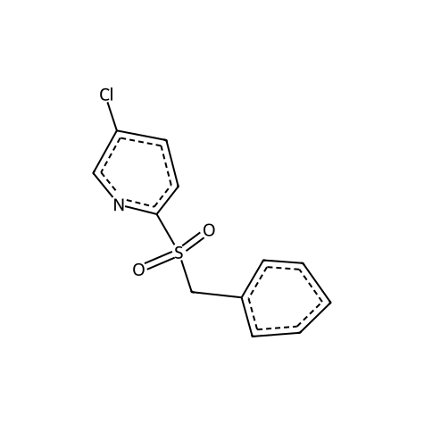 O=S(=O)(Cc1ccccc1)c1ccc(Cl)cn1